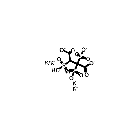 O=C([O-])C(C(C(=O)[O-])(S(=O)(=O)[O-])S(=O)(=O)[O-])S(=O)(=O)O.[K+].[K+].[K+].[K+]